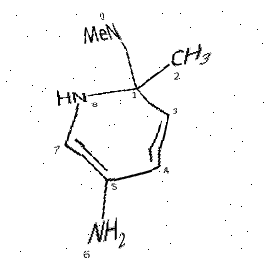 CNC1(C)C=CC(N)=CN1